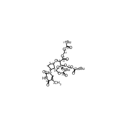 Cc1cn(C2CCC(OC(C(=O)OCOC(=O)C(C)(C)C)P(=O)(OCOC(=O)C(C)(C)C)OCOC(=O)C(C)(C)C)C2)c(=O)[nH]c1=O